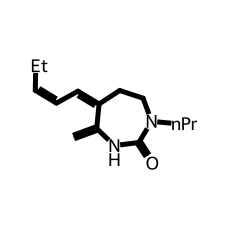 C=C1NC(=O)N(CCC)CC/C1=C/C=C\CC